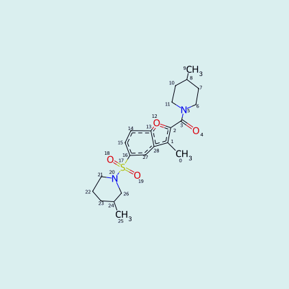 Cc1c(C(=O)N2CCC(C)CC2)oc2ccc(S(=O)(=O)N3CCCC(C)C3)cc12